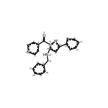 O=C(c1ccncc1)n1nc(-c2ccccc2)cc1NCc1ccccc1